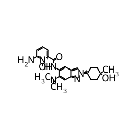 CN(C)c1cc2c(cc1NC(=O)c1cccc(N)[n+]1O)=C[N+](=C1CCC(C)(O)CC1)N=2